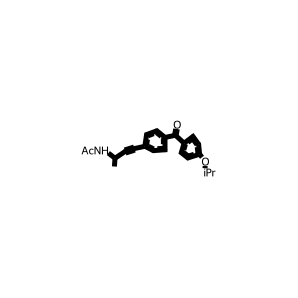 CC(=O)NC(C)C#Cc1ccc(C(=O)c2ccc(OC(C)C)cc2)cc1